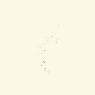 Cc1c([C@@H](NC(=O)Nc2cnc(N(C)CCNC(=O)OC(C)(C)C)nc2)C(C)C)oc2ccc(F)cc12